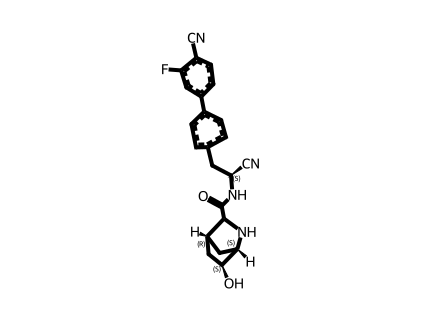 N#Cc1ccc(-c2ccc(C[C@@H](C#N)NC(=O)C3N[C@H]4C[C@@H]3C[C@@H]4O)cc2)cc1F